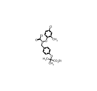 CCOC(=O)C(C)(C)Oc1ccc(CN(Oc2ccc(Cl)cc2C)C(=O)CC)cc1